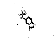 CS(=O)(=O)Nc1ccc2ncc(I)n2c1